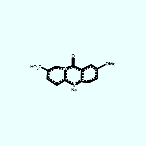 COc1ccc2nc3ccc(C(=O)O)cn3c(=O)c2c1.[Na]